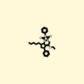 CCCCCC1CC(c2ccccc2)C2=C(OCC)Cn3c(=O)n(-c4ccccc4)c(=O)n3C21